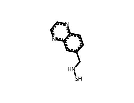 SNCc1ccc2nccnc2c1